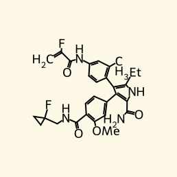 C=C(F)C(=O)Nc1ccc(-c2c(CC)[nH]c(C(N)=O)c2-c2ccc(C(=O)NCC3(F)CC3)c(OC)c2)c(C)c1